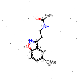 CCCC(=O)NCCc1noc2ccc(OC)cc12